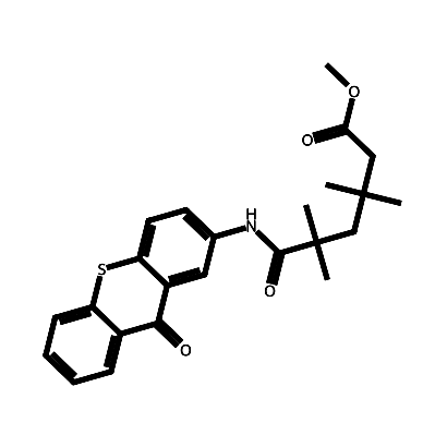 COC(=O)CC(C)(C)CC(C)(C)C(=O)Nc1ccc2sc3ccccc3c(=O)c2c1